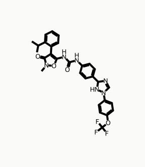 CC(C)c1ccccc1-c1c(NC(=O)Nc2ccc(C3N=CN(c4ccc(OC(F)(F)F)cc4)N3)cc2)on(C)c1=O